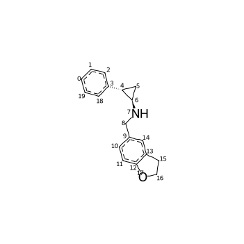 c1ccc([C@@H]2C[C@H]2NCc2ccc3c(c2)CCO3)cc1